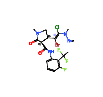 C=NN(C)/C(Cl)=C(\Br)[C@H]1CN(C)C(=O)[C@@H]1C(=O)Nc1cccc(F)c1C(C)(F)F